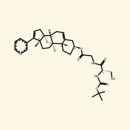 CC(C)(C)OC(=O)N[C@@H](CO)C(=O)NCC(=O)O[C@H]1CC[C@@]2(C)C(=CC[C@@H]3[C@@H]2CC[C@]2(C)C(c4cccnc4)=CC[C@@H]32)C1